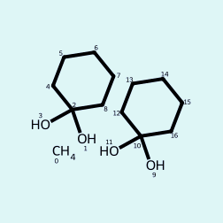 C.OC1(O)CCCCC1.OC1(O)CCCCC1